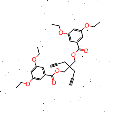 C#CCC(CC#C)(COC(=O)c1cc(OCC)cc(OCC)c1)COC(=O)c1cc(OCC)cc(OCC)c1